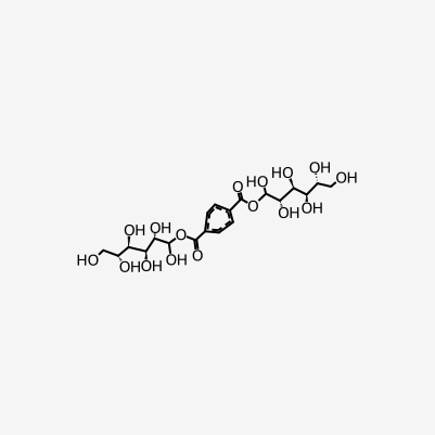 O=C(OC(O)[C@@H](O)[C@@H](O)[C@H](O)[C@H](O)CO)c1ccc(C(=O)OC(O)[C@@H](O)[C@@H](O)[C@H](O)[C@H](O)CO)cc1